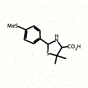 CSc1ccc(C2NC(C(=O)O)C(C)(C)S2)cc1